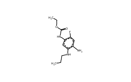 CCCNc1cc(NC(=O)OCC)c(F)cc1N